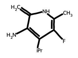 C=C1NC(C)=C(F)C(C(C)C)=C1N